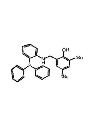 CC(C)(C)c1cc(CNc2ccccc2P(c2ccccc2)c2ccccc2)c(O)c(C(C)(C)C)c1